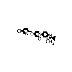 C1CC1.Cn1cnc2ccc(-n3ccc(OCc4ccc(Cl)cn4)cc3=O)cc21